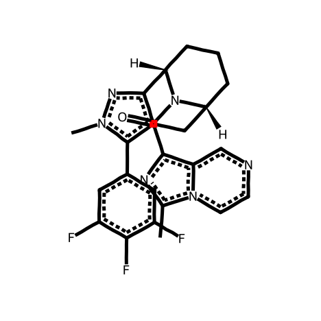 Cc1nc(C(=O)N2[C@@H]3CCC[C@H]2c2nn(C)c(-c4cc(F)c(F)c(F)c4)c2C3)c2cnccn12